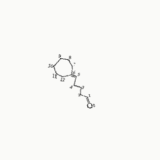 O=CCCCC=C1CCCCCC1